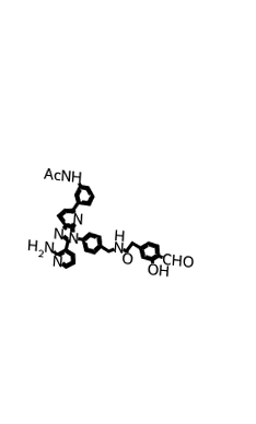 CC(=O)Nc1cccc(-c2ccc3nc(-c4cccnc4N)n(-c4ccc(CNC(=O)Cc5ccc(C=O)c(O)c5)cc4)c3n2)c1